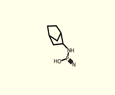 N#P(O)NC1CC2CCC1C2